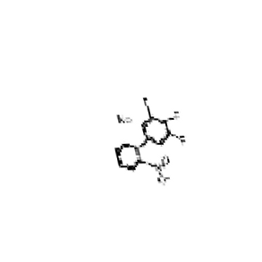 O=[N+]([O-])c1ccccc1-c1cc(F)c(F)c(F)c1.[No]